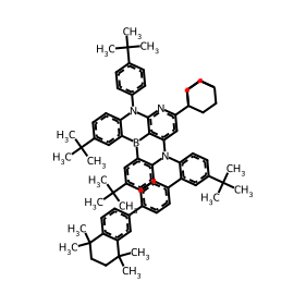 CC(C)(C)c1ccc(N2c3ccc(C(C)(C)C)cc3B3c4cc(C(C)(C)C)ccc4N(c4ccc(C(C)(C)C)cc4-c4ccc(-c5ccc6c(c5)C(C)(C)CCC6(C)C)cc4)c4cc(C56CCC(CC5)CC6)nc2c43)cc1